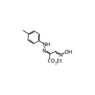 CCOC(=O)C(/C=N/O)=N/Nc1ccc(C)cc1